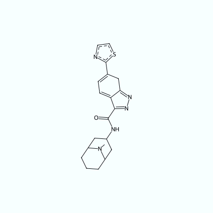 CN1C2CCCC1CC(NC(=O)C1=NN=C3CC(c4nccs4)=CC=C31)C2